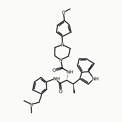 COc1ccc(N2CCN(C(=O)N[C@@H](C(=O)Nc3cccc(CN(C)C)c3)[C@H](C)c3c[nH]c4ccccc34)CC2)cc1